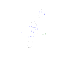 Cl.Cn1cc(-c2cnc(N(C(=O)NCc3ccccc3)[C@H]3CC[C@H](N)CC3)nc2)cn1